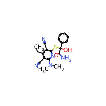 CCc1c(C#N)c(SC(O)(C(N)=O)c2ccccc2)nc(N(C)C)c1C#N